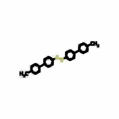 Cc1ccc(-c2ccc(SSc3ccc(-c4ccc(C)cc4)cc3)cc2)cc1